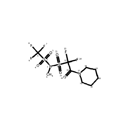 CN(S(=O)(=O)C(F)(F)F)S(=O)(=O)C(F)(F)C(=O)N1CCCCC1